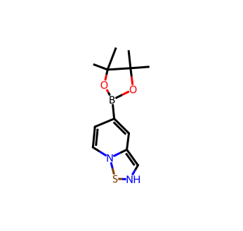 CC1(C)OB(C2=CC3=CNSN3C=C2)OC1(C)C